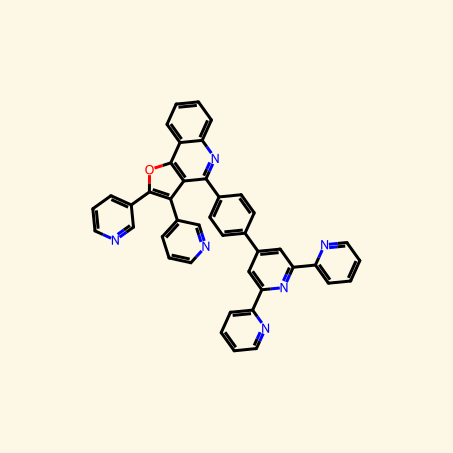 c1ccc(-c2cc(-c3ccc(-c4nc5ccccc5c5oc(-c6cccnc6)c(-c6cccnc6)c45)cc3)cc(-c3ccccn3)n2)nc1